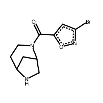 O=C(c1cc(Br)no1)N1CCC2CC1CN2